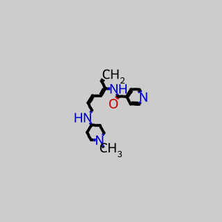 C=C/C(=C\C=C/CNC1CCN(C)CC1)NC(=O)c1ccncc1